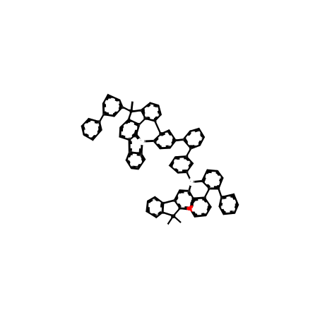 CC1(C)c2ccccc2-c2cc(N(c3cccc(-c4ccccc4-c4ccc5c(c4)-c4cccc6c4-c4c(ccc7c8ccccc8n-5c47)C6(C)c4cccc(-c5ccccc5)c4)c3)c3cccc(-c4ccccc4)c3-c3ccccc3)ccc21